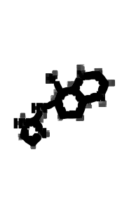 Brc1c(Nc2ncc[nH]2)ccc2nccnc12